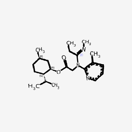 CC/C(=N\C)N(CC(=O)O[C@@H]1C[C@H](C)CC[C@H]1C(C)C)c1ncccc1C